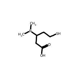 CN(C)C(CCS)CC(=O)O